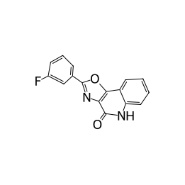 O=c1[nH]c2ccccc2c2oc(-c3cccc(F)c3)nc12